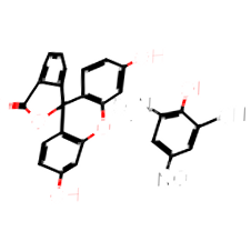 Cc1cc([N+](=O)[O-])cc([N+](=O)[O-])c1O.O=C1OC2(c3ccc(O)cc3Oc3cc(O)ccc32)c2ccccc21